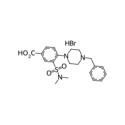 Br.CN(C)S(=O)(=O)c1cc(C(=O)O)ccc1N1CCN(Cc2ccccc2)CC1